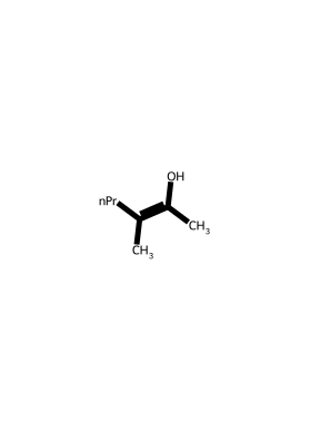 CCCC(C)=C(C)O